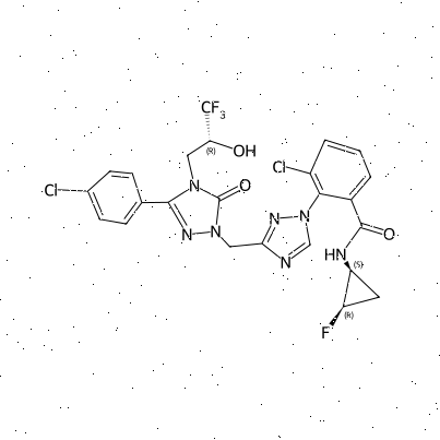 O=C(N[C@H]1C[C@H]1F)c1cccc(Cl)c1-n1cnc(Cn2nc(-c3ccc(Cl)cc3)n(C[C@@H](O)C(F)(F)F)c2=O)n1